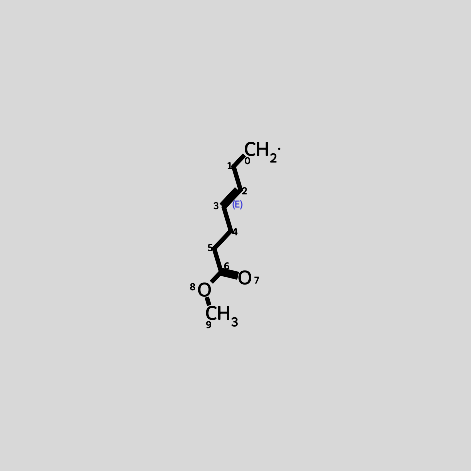 [CH2]C/C=C/CCC(=O)OC